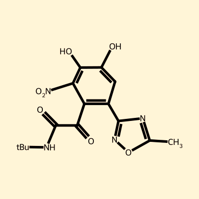 Cc1nc(-c2cc(O)c(O)c([N+](=O)[O-])c2C(=O)C(=O)NC(C)(C)C)no1